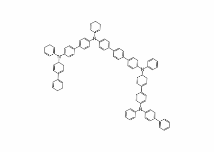 C1=CC(C2=CCC(N(C3=CCCC=C3)c3ccc(-c4ccc(N(C5=CCCC=C5)c5ccc(-c6ccc(-c7ccc(N(c8ccccc8)C8C=CC(c9ccc(N(c%10ccccc%10)c%10ccc(-c%11ccccc%11)cc%10)cc9)=CC8)cc7)cc6)cc5)cc4)cc3)C=C2)=CCC1